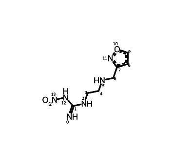 N=C(NCCNCc1ccon1)N[N+](=O)[O-]